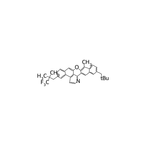 Cc1c2c(cc3cc(CC(C)(C)C)ccc13)-c1nccc3c1c(cc1ccc(CC(C)(C)C(F)(F)F)cc13)O2